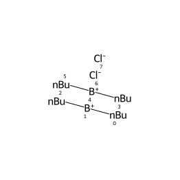 CCCC[B+]CCCC.CCCC[B+]CCCC.[Cl-].[Cl-]